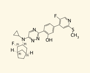 CSc1cc(-c2ccc(-c3ncc(N(C4CC4)[C@@H]4C[C@H]5CC[C@H](C5)[C@@H]4F)nn3)c(O)c2)c(F)cn1